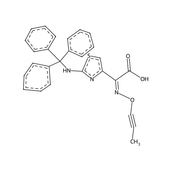 CC#CON=C(C(=O)O)c1csc(NC(c2ccccc2)(c2ccccc2)c2ccccc2)n1